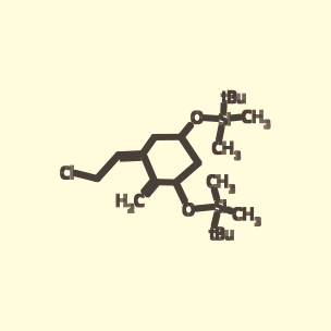 C=C1/C(=C\CCl)CC(O[Si](C)(C)C(C)(C)C)CC1O[Si](C)(C)C(C)(C)C